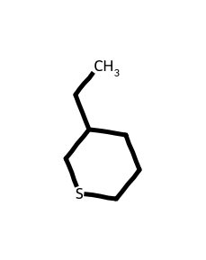 CCC1CCCSC1